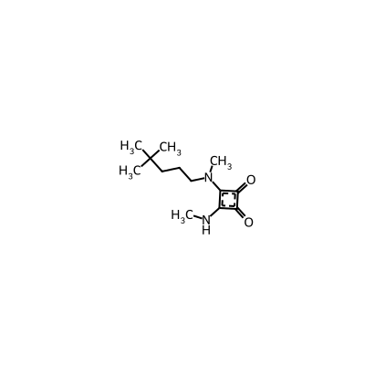 CNc1c(N(C)CCCC(C)(C)C)c(=O)c1=O